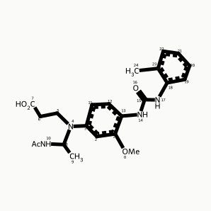 COc1cc(N(CCC(=O)O)C(C)NC(C)=O)ccc1NC(=O)Nc1ccccc1C